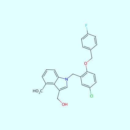 O=C(O)c1cccc2c1c(CO)cn2Cc1cc(Cl)ccc1OCc1ccc(F)cc1